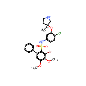 COc1cc(-c2ccccc2)c(S(=O)(=O)Nc2ccc(Cl)c(O[C@]3(C)CCNC3)c2)c(Br)c1OC